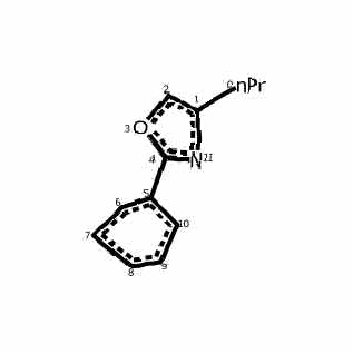 CCCc1coc(-c2ccccc2)n1